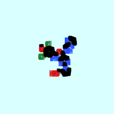 COc1c(Cl)cc(CNc2nc(N3CCC[C@H]3CO)ncc2C(=O)NCc2ncccn2)cc1Cl